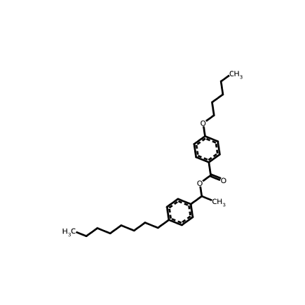 CCCCCCCCc1ccc(C(C)OC(=O)c2ccc(OCCCCC)cc2)cc1